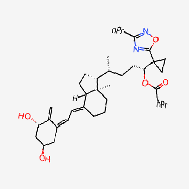 C=C1/C(=C\C=C2/CCC[C@]3(C)[C@@H]([C@H](C)CC[C@@H](OC(=O)CCC)C4(c5nc(CCC)no5)CC4)CC[C@@H]23)C[C@@H](O)C[C@@H]1O